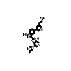 Cc1cn(-c2cncc3[nH]c(-c4n[nH]c5ccc(-c6cncc(CCN(C)C)c6)cc45)nc23)cn1